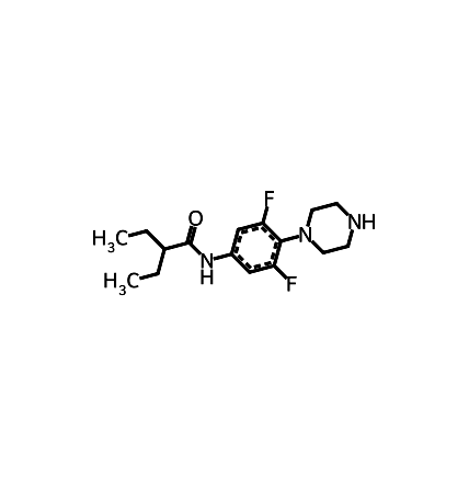 CCC(CC)C(=O)Nc1cc(F)c(N2CCNCC2)c(F)c1